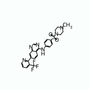 CN1CCN(S(=O)(=O)c2ccc(Nc3ncnc4cc(-c5ncccc5C(F)(F)F)ccc34)cc2)CC1